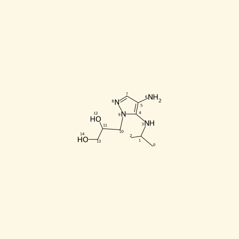 CC(C)Nc1c(N)cnn1CC(O)CO